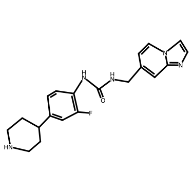 O=C(NCc1ccn2ccnc2c1)Nc1ccc(C2CCNCC2)cc1F